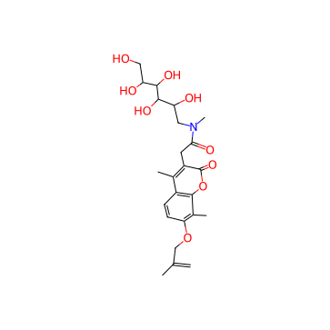 C=C(C)COc1ccc2c(C)c(CC(=O)N(C)CC(O)C(O)C(O)C(O)CO)c(=O)oc2c1C